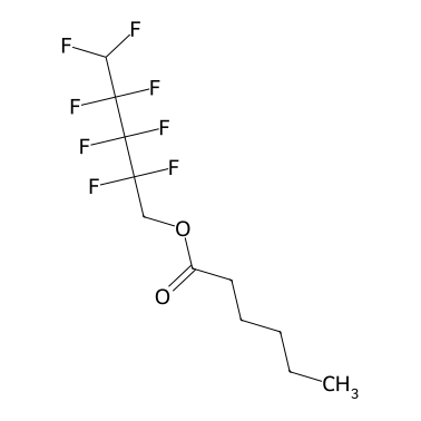 CCCCCC(=O)OCC(F)(F)C(F)(F)C(F)(F)C(F)F